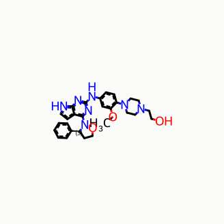 COc1cc(Nc2nc(N3OCC[C@H]3c3ccccc3)c3cc[nH]c3n2)ccc1N1CCN(CCO)CC1